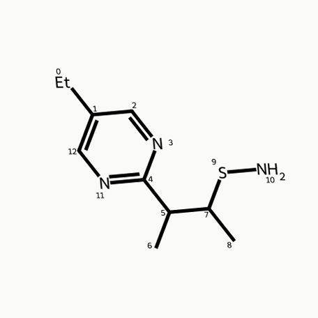 CCc1cnc(C(C)C(C)SN)nc1